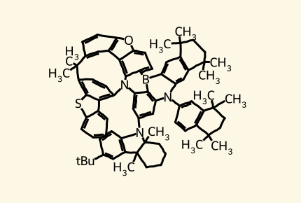 CC(C)(C)c1ccc2c(c1)C1(C)CCCCC1(C)N2c1cc2c3c(c1)N1c4c(ccc5oc6ccc(cc6c45)C(C)(C)c4ccc1c1c4sc4ccccc41)B3c1cc3c(cc1N2c1ccc2c(c1)C(C)(C)CCC2(C)C)C(C)(C)CCC3(C)C